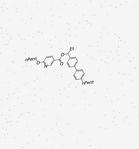 CCCCCOc1ccc(C(=O)OC(CC)c2ccc(-c3ccc(CCCCC)cc3)cc2)cn1